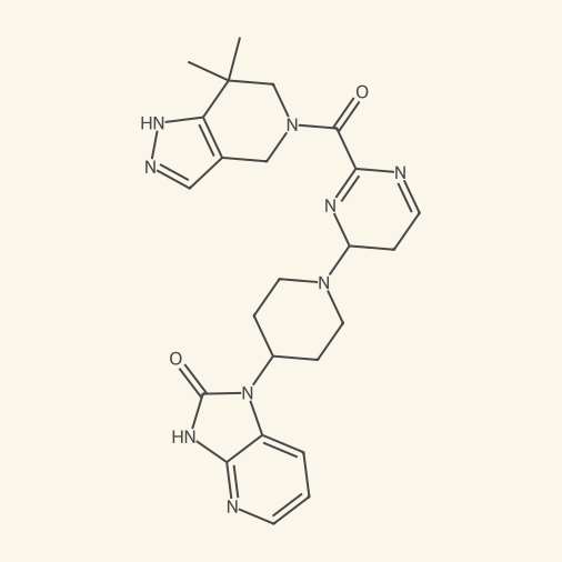 CC1(C)CN(C(=O)C2=NC(N3CCC(n4c(=O)[nH]c5ncccc54)CC3)CC=N2)Cc2cn[nH]c21